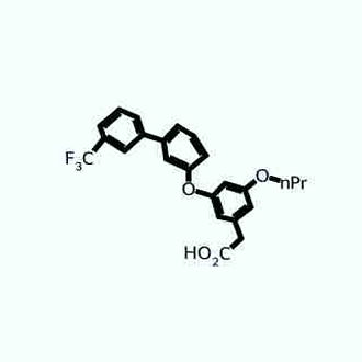 CCCOc1cc(CC(=O)O)cc(Oc2cccc(-c3cccc(C(F)(F)F)c3)c2)c1